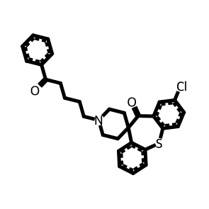 O=C(CCCCN1CCC2(CC1)C(=O)c1cc(Cl)ccc1Sc1ccccc12)c1ccccc1